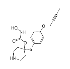 CC#CCOc1ccc(SC2(OC(=O)NO)CCNCC2)cc1